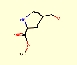 CC(C)(C)OC(=O)C1CC(CO)CN1